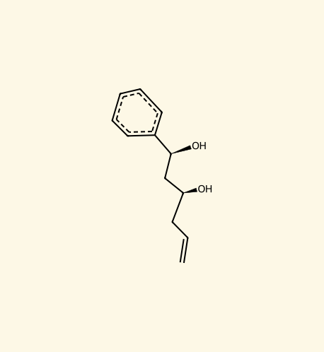 C=CC[C@H](O)C[C@H](O)c1ccccc1